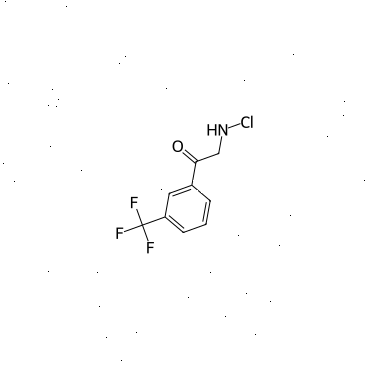 O=C(CNCl)c1cccc(C(F)(F)F)c1